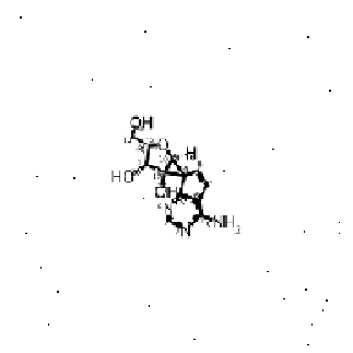 Nc1ncnc2c1C=CC21[C@@H]2O[C@H](CO)C(O)[C@]21O